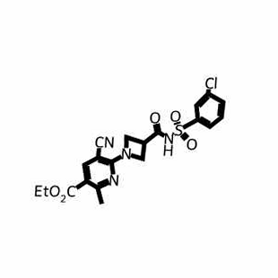 CCOC(=O)c1cc(C#N)c(N2CC(C(=O)NS(=O)(=O)c3cccc(Cl)c3)C2)nc1C